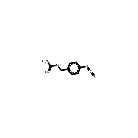 N=C(N)NCc1ccc(N=C=S)cc1